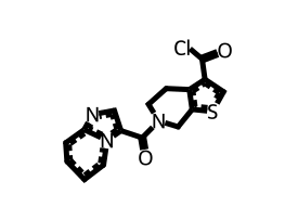 O=C(Cl)c1csc2c1CCN(C(=O)c1cnc3ccccn13)C2